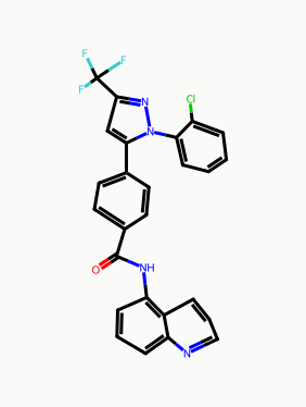 O=C(Nc1cccc2ncccc12)c1ccc(-c2cc(C(F)(F)F)nn2-c2ccccc2Cl)cc1